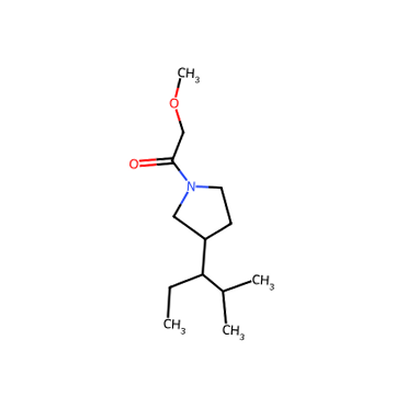 CCC(C(C)C)C1CCN(C(=O)COC)C1